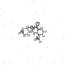 CN1CCC(c2cc3c(N(C)C)cccc3c(=O)[nH]2)CC1